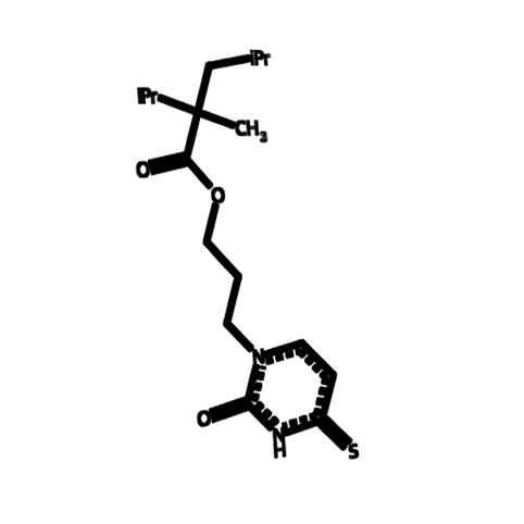 CC(C)CC(C)(C(=O)OCCCn1ccc(=S)[nH]c1=O)C(C)C